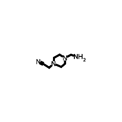 N#CCN1CCN(CN)CC1